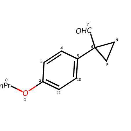 [CH2]CCOc1ccc(C2(C=O)CC2)cc1